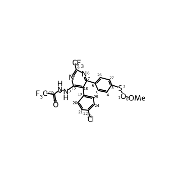 COOSc1ccc(-c2nc(C(F)(F)F)nc(NNC(=O)C(F)(F)F)c2-c2ccc(Cl)cc2)cc1